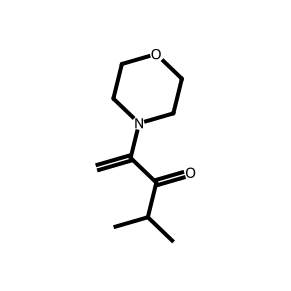 C=C(C(=O)C(C)C)N1CCOCC1